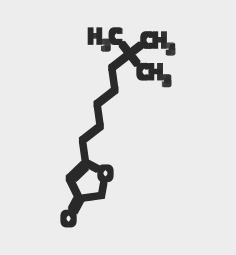 CC(C)(C)CCCCCC1=CC(=O)CO1